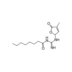 CCCCCCCC(=O)NC(=N)NC1C=C(C)C(=O)O1